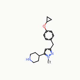 CCn1nc(Cc2ccc(OC3CC3)cc2)cc1C1CCNCC1